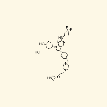 Cl.O[C@H]1CC[C@H](n2cc(-c3ccc(CN4CCN(CCOC5CNC5)CC4)cc3)c3cnc(NCCC(F)(F)F)nc32)CC1